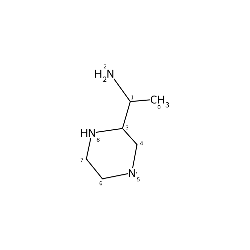 CC(N)C1C[N]CCN1